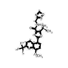 COc1ccc(-c2nc(C(=O)NCc3ncon3)c([C@H](C)N)o2)c2ccc(C(F)(F)F)nc12